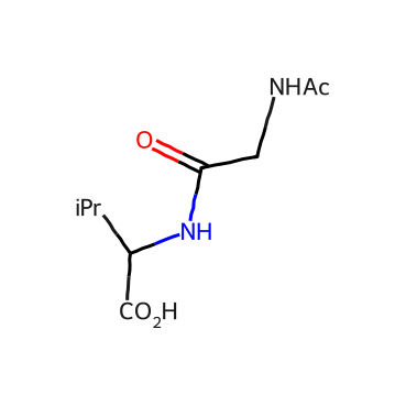 CC(=O)NCC(=O)NC(C(=O)O)C(C)C